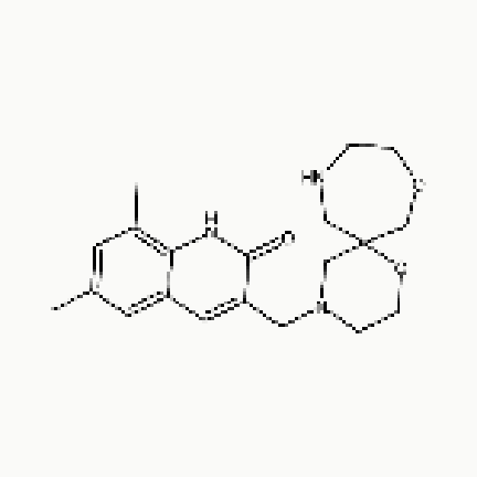 Cc1cc(C)c2[nH]c(=O)c(CN3CCOC4(CNCCOC4)C3)cc2c1